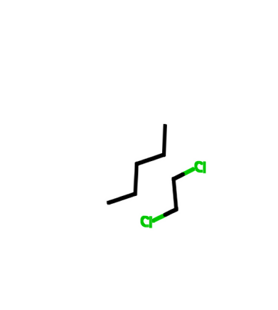 CCCCC.ClCCCl